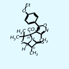 CCOc1ccc(-c2onc(C)c2[C@@]2(C(=O)O)N3C(=S)[C@@H](C)[C@H]3SC2(C)C)cc1